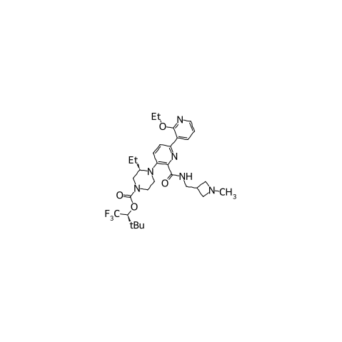 CCOc1ncccc1-c1ccc(N2CCN(C(=O)O[C@@H](C(C)(C)C)C(F)(F)F)C[C@H]2CC)c(C(=O)NCC2CN(C)C2)n1